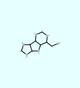 ClCC1OCOC2C1OC1OCOC12